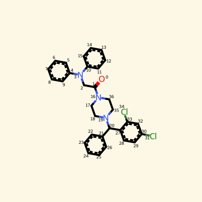 O=C(CN(c1ccccc1)c1ccccc1)N1CCN(C(c2ccccc2)c2ccc(Cl)cc2Cl)CC1